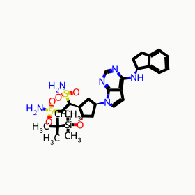 CC(C)(C)[Si](C)(C)O[C@H]1C[C@H](n2ccc3c(N[C@H]4CCc5ccccc54)ncnc32)C[C@@H]1C(CS(N)(=O)=O)S(N)(=O)=O